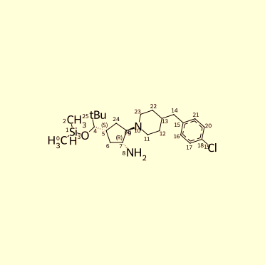 C[SiH](C)OC([C@H]1C[C@@H](N)[C@H](N2CCC(Cc3ccc(Cl)cc3)CC2)C1)C(C)(C)C